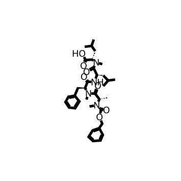 CC(C)C[C@H](NC(=O)[C@H](Cc1ccccc1)N(C)C(=O)[C@H](C)N(C)C(=O)OCc1ccccc1)C(=O)N(C)[C@@H](CC(C)C)C(=O)O